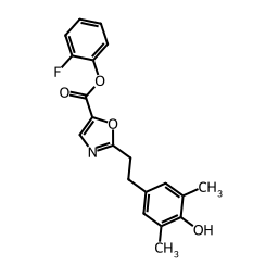 Cc1cc(CCc2ncc(C(=O)Oc3ccccc3F)o2)cc(C)c1O